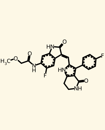 COCC(=O)Nc1cc2c(cc1F)/C(=C\c1[nH]c3c(c1-c1ccc(F)cc1)C(=O)NCC3)C(=O)N2